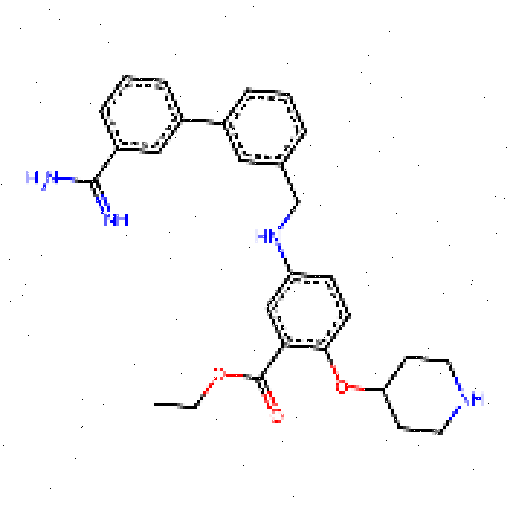 CCOC(=O)c1cc(NCc2cccc(-c3cccc(C(=N)N)c3)c2)ccc1OC1CCNCC1